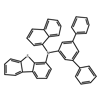 c1ccc(-c2cc(-c3ccccc3)cc(N(c3cccc4ccccc34)c3cccc4c3sc3ccccc34)c2)cc1